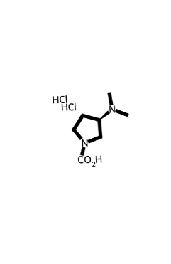 CN(C)[C@@H]1CCN(C(=O)O)C1.Cl.Cl